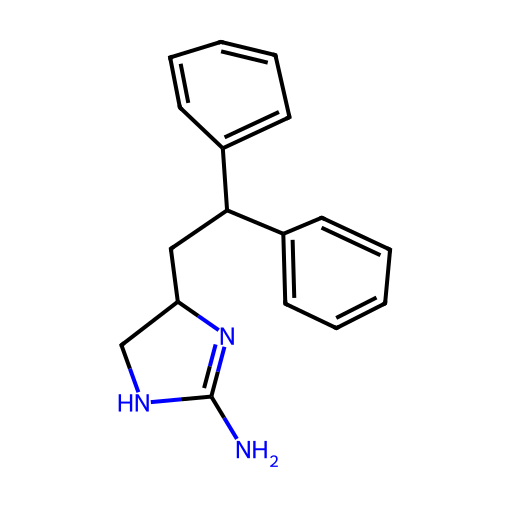 NC1=NC(CC(c2ccccc2)c2ccccc2)CN1